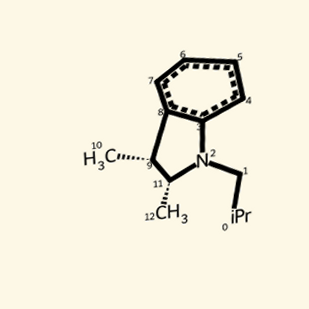 CC(C)CN1c2ccccc2[C@@H](C)[C@H]1C